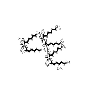 CCCCCCC(C)OP(=O)([O-])C(C)CCCCCC.CCCCCCC(C)OP(=O)([O-])C(C)CCCCCC.CCCCCCC(C)OP(=O)([O-])C(C)CCCCCC.[Cr+3]